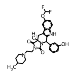 CC1CCN(CCN2C(=O)N3C(c4cccc(O)c4)c4[nH]c5ccc(OC(F)F)cc5c4CC3(C)C2=O)CC1